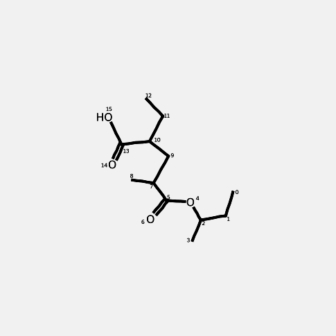 CCC(C)OC(=O)C(C)CC(CC)C(=O)O